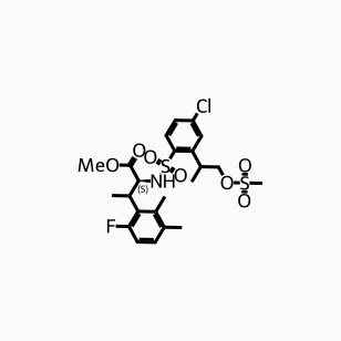 COC(=O)[C@@H](NS(=O)(=O)c1ccc(Cl)cc1C(C)COS(C)(=O)=O)C(C)c1c(F)ccc(C)c1C